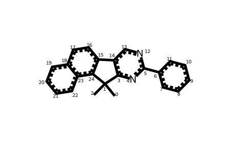 CC1(C)c2nc(-c3ccccc3)ncc2-c2ccc3ccccc3c21